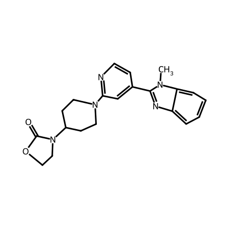 Cn1c(-c2ccnc(N3CCC(N4CCOC4=O)CC3)c2)nc2ccccc21